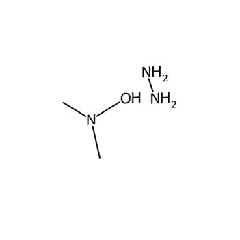 CN(C)O.NN